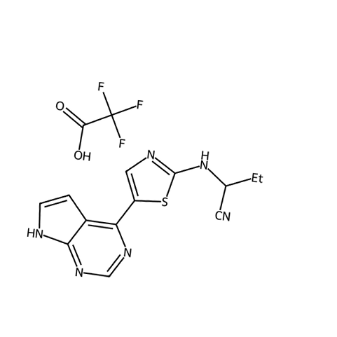 CCC(C#N)Nc1ncc(-c2ncnc3[nH]ccc23)s1.O=C(O)C(F)(F)F